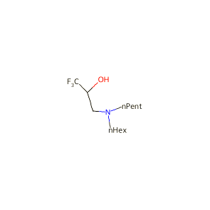 CCCCCCN(CCCCC)CC(O)C(F)(F)F